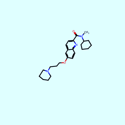 CN(C(=O)c1ccc2cc(OCCCN3CCCCC3)ccc2n1)C1CCCCC1